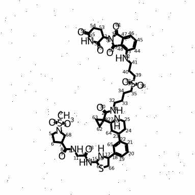 CS(=O)(=O)N1CCC(C(=O)NCC(=O)NC2NC(c3cccc(C4CCNC(C5(C(=O)NCCCCS(=O)(=O)CCCNc6cccc7c6C(=O)N(C6CCC(=O)NC6=O)C7=O)CC5)C4)c3)CS2)C1